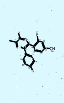 C=C(C)/C(C)=N\C(=C(/C)c1ccc(C)cc1)c1ccc(C#N)cc1F